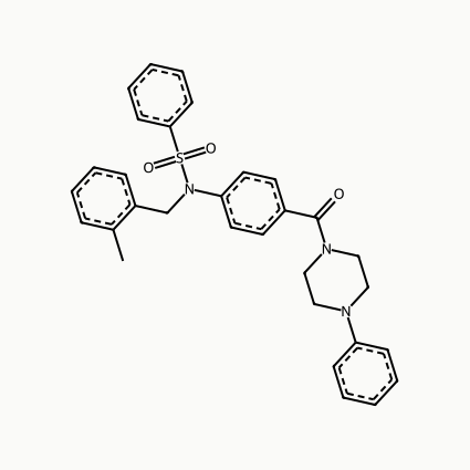 Cc1ccccc1CN(c1ccc(C(=O)N2CCN(c3ccccc3)CC2)cc1)S(=O)(=O)c1ccccc1